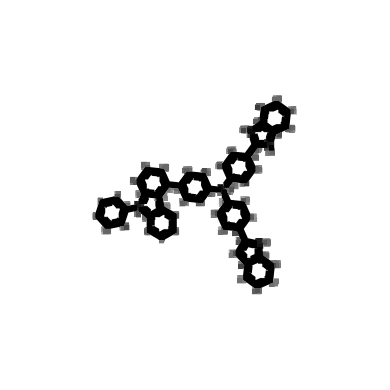 c1ccc(-n2c3ccccc3c3c(-c4ccc(N(c5ccc(-c6cc7ccccc7s6)cc5)c5ccc(-c6nc7ccccc7s6)cc5)cc4)cccc32)cc1